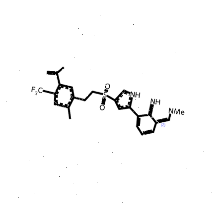 C=C(C)c1cc(CCS(=O)(=O)c2c[nH]c(C3=CC=C/C(=C/NC)C3=N)c2)c(C)cc1C(F)(F)F